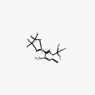 C=C/C=C(N)\C(=C/CC(F)(F)F)B1CC(C)(C)C(C)(C)C1